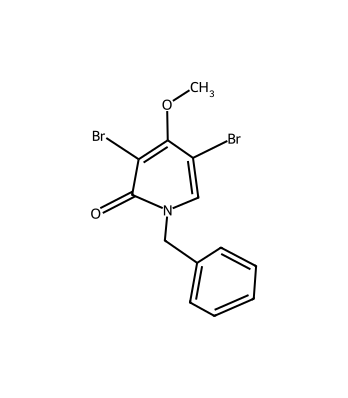 COc1c(Br)cn(Cc2ccccc2)c(=O)c1Br